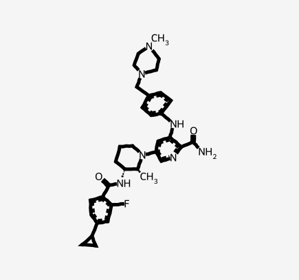 C[C@@H]1[C@H](NC(=O)c2ccc(C3CC3)cc2F)CCCN1c1cnc(C(N)=O)c(Nc2ccc(CN3CCN(C)CC3)cc2)c1